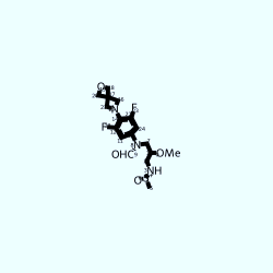 COC(CN[S+](C)[O-])CN(C=O)c1cc(F)c(N2CC3(COC3)C2)c(F)c1